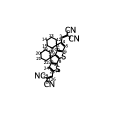 N#CC(C#N)=CC1=Cc2sc3c(c2C12CCCCC2)C1(CCCCC1)c1cc(C=C(C#N)C#N)sc1-3